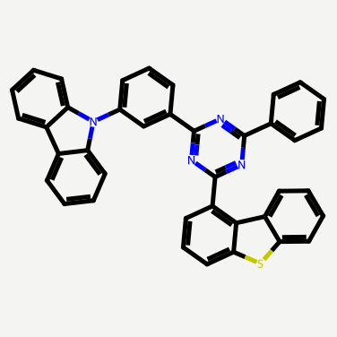 c1ccc(-c2nc(-c3cccc(-n4c5ccccc5c5ccccc54)c3)nc(-c3cccc4sc5ccccc5c34)n2)cc1